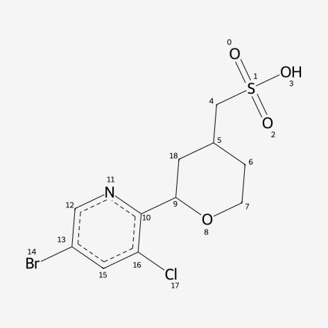 O=S(=O)(O)CC1CCOC(c2ncc(Br)cc2Cl)C1